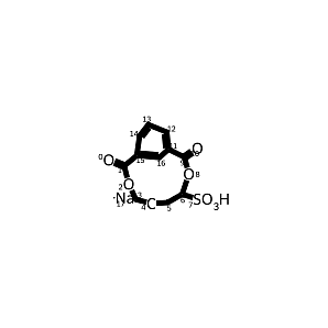 O=C1OCCCC(S(=O)(=O)O)OC(=O)c2cccc1c2.[Na]